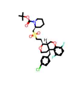 CC(C)(C)OC(=O)N1CCCC[C@H]1CS(=O)(=O)CC[C@@H]1OCC[C@@]2(Cc3ccc(Cl)cc3)c3c(F)ccc(F)c3OC[C@@H]12